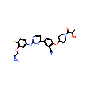 CC(O)C(=O)N1CCC(Oc2ccc(-c3ccnc(Nc4ccc(F)c(OCCN)c4)n3)cc2C#N)CC1